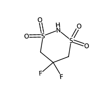 O=S1(=O)CC(F)(F)CS(=O)(=O)N1